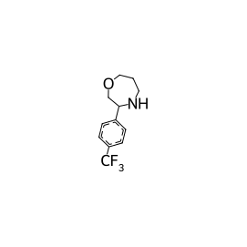 FC(F)(F)c1ccc(C2COCCCN2)cc1